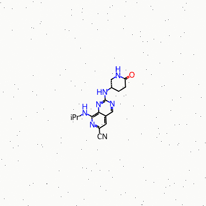 CC(C)Nc1nc(C#N)cc2cnc(NC3CCC(=O)NC3)nc12